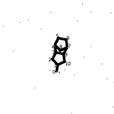 [CH2]C1CC2C3CCC(C3)C2C1